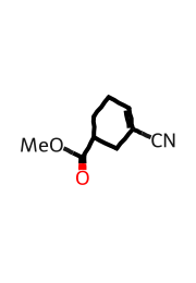 COC(=O)C1CCC=C(C#N)C1